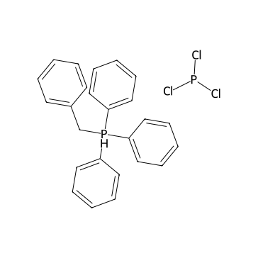 ClP(Cl)Cl.c1ccc(C[PH](c2ccccc2)(c2ccccc2)c2ccccc2)cc1